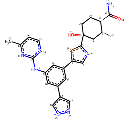 C[C@@H]1C[C@](O)(c2ncc(-c3cc(Nc4nccc(C(F)(F)F)n4)cc(-c4cn[nH]c4)c3)s2)CC[C@@H]1C(N)=O